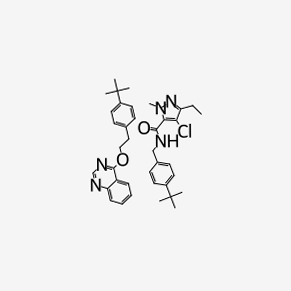 CC(C)(C)c1ccc(CCOc2ncnc3ccccc23)cc1.CCc1nn(C)c(C(=O)NCc2ccc(C(C)(C)C)cc2)c1Cl